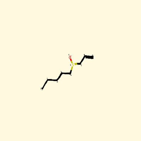 [CH2]CCCC[S+]([O-])CC=C